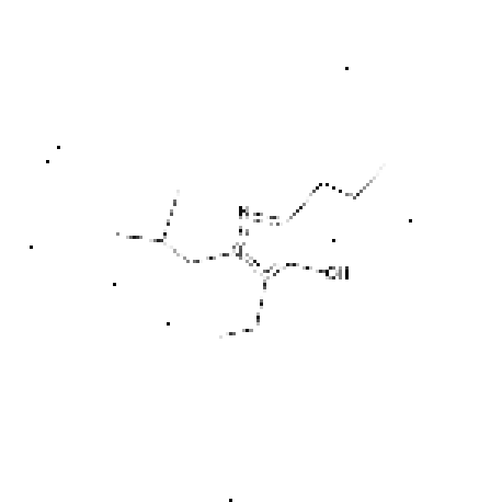 CCCc1nn(CC(C)C)c(CC)c1O